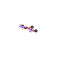 O=C(CNP(OCC1CCC(n2ccc(=O)[nH]c2=O)O1)Oc1ccccc1)OCc1ccccc1